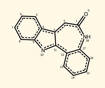 O=c1cc2c3ccccc3nc-2c2ccccc2[nH]1